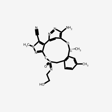 Cc1ccc2c(c1)[C@@H](C)Oc1cc(nnc1N)-c1c(nn(C)c1C#N)CS(=O)(=NCCO)C2